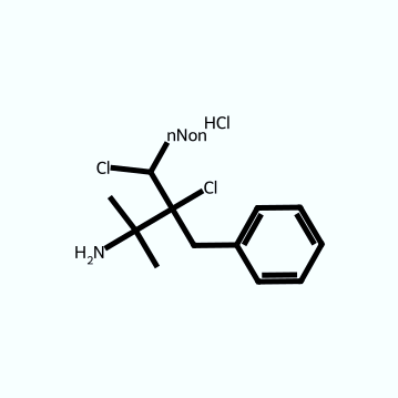 CCCCCCCCCC(Cl)C(Cl)(Cc1ccccc1)C(C)(C)N.Cl